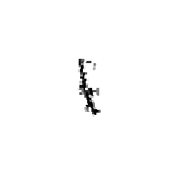 C=C(C)C(=O)OCCCNC(=O)CCCCCCCCN